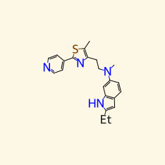 [CH]Cc1cc2ccc(N(C)CCc3nc(-c4ccncc4)sc3C)cc2[nH]1